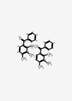 Cc1ccc(C(=O)c2ccccc2)c(C)c1[N+](=O)[O-].Cc1ccc(C(=O)c2ccccc2)c([N+](=O)[O-])c1C